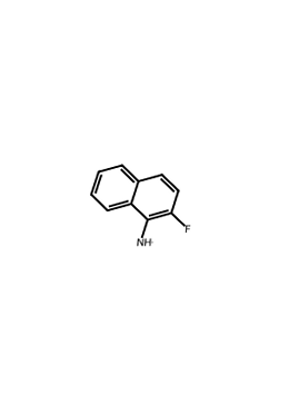 [NH]c1c(F)ccc2ccccc12